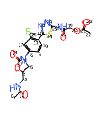 CC(=O)NCC1CN(c2ccc(-c3nnc(NC(=O)COC(C)=O)s3)c(F)c2)C(=O)O1